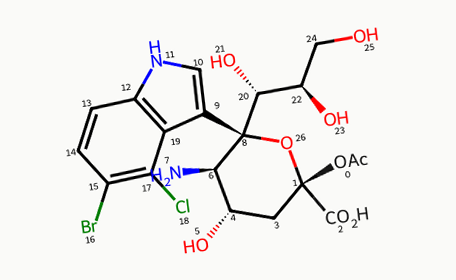 CC(=O)O[C@@]1(C(=O)O)C[C@H](O)[C@@H](N)[C@](c2c[nH]c3ccc(Br)c(Cl)c23)([C@H](O)[C@H](O)CO)O1